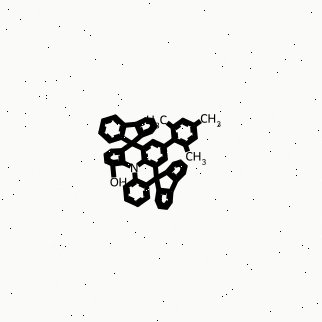 Cc1cc(C)c(-c2cc3c4c(c2)C2(c5ccccc5-c5ccccc52)c2cccc(O)c2N4c2ccccc2C32c3ccccc3-c3ccccc32)c(C)c1